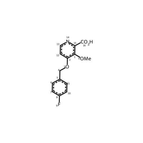 COc1c(OCc2ccc(F)cc2)ccnc1C(=O)O